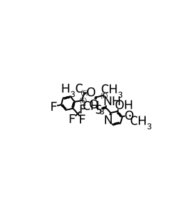 COc1ccnc(C(=S)N[C@@H](C)C(=O)O[C@@H](C)[C@@H](C)c2ccc(F)cc2C(F)(F)F)c1O